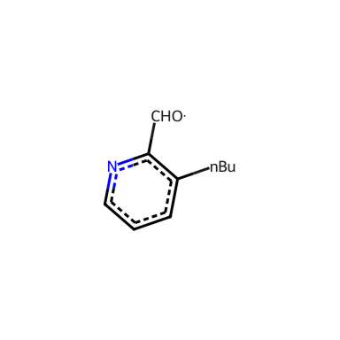 CCCCc1cccnc1[C]=O